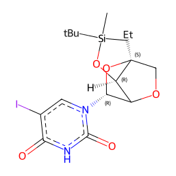 CC[C@@]12COC([C@H](n3cc(I)c(=O)[nH]c3=O)O1)[C@H]2O[Si](C)(C)C(C)(C)C